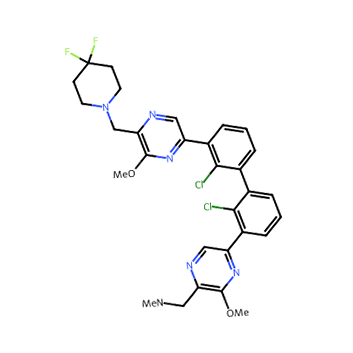 CNCc1ncc(-c2cccc(-c3cccc(-c4cnc(CN5CCC(F)(F)CC5)c(OC)n4)c3Cl)c2Cl)nc1OC